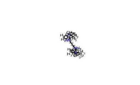 CC(C)(CC1(N(C(C)(C)C)C(C)(C)C)CCCCC1)NCCCCCCNC(C)(C)CC1(N(C(C)(C)C)C(C)(C)C)CCCCC1